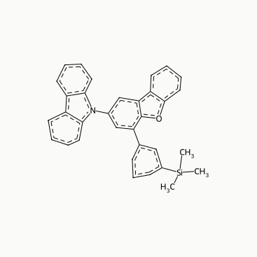 C[Si](C)(C)c1cccc(-c2cc(-n3c4ccccc4c4ccccc43)cc3c2oc2ccccc23)c1